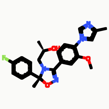 COc1cc(C2=NO[C@](C)(c3ccc(F)cc3)N2C[C@H](C)O)ccc1-n1cnc(C)c1